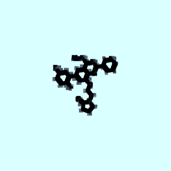 CNc1nc(-c2cccnc2)nc2c(OCCN3CCCC3=O)cc(-c3cc(F)ccc3F)cc12